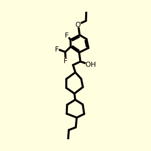 CCCC1CCC(C2CCC(CC(O)c3ccc(OCC)c(F)c3C(F)F)CC2)CC1